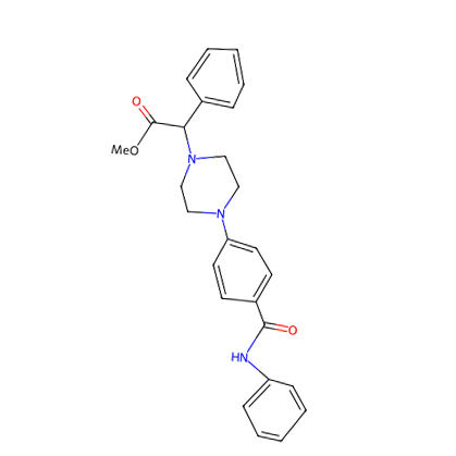 COC(=O)C(c1ccccc1)N1CCN(c2ccc(C(=O)Nc3ccccc3)cc2)CC1